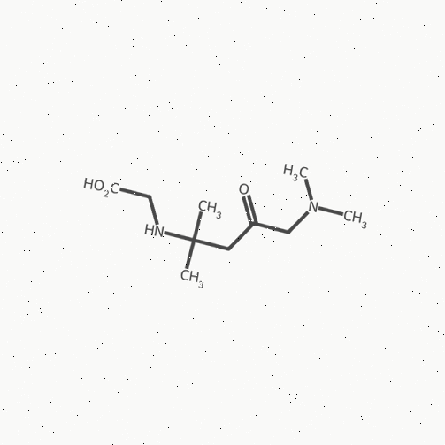 CN(C)CC(=O)CC(C)(C)NCC(=O)O